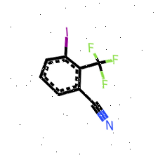 N#Cc1cccc(I)c1C(F)(F)F